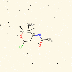 CO[C@@]1(C)[C@@H](NC(=O)C(F)(F)F)CC(Cl)O[C@H]1C